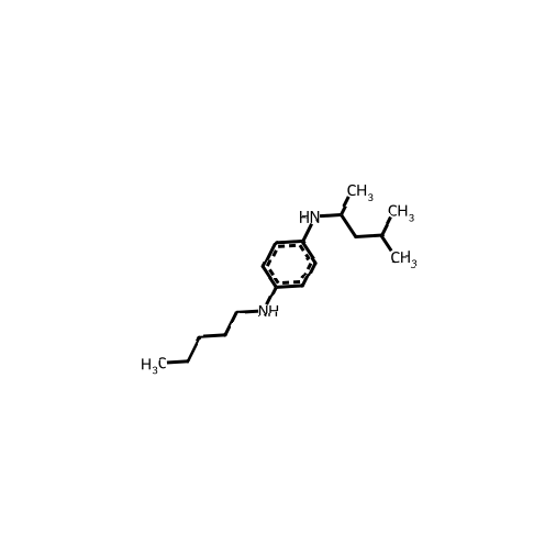 CCCCCNc1ccc(NC(C)CC(C)C)cc1